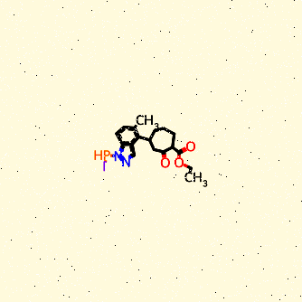 CCOC(=O)C1CCCC(c2c(C)ccc3c2cnn3PI)CC1=O